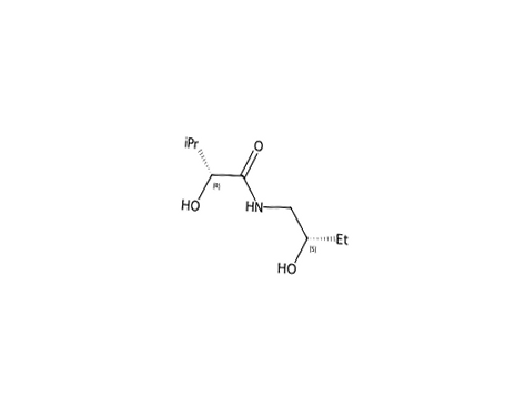 CC[C@H](O)CNC(=O)[C@H](O)C(C)C